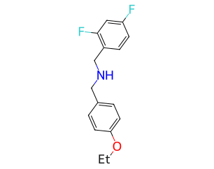 CCOc1ccc(CNCc2ccc(F)cc2F)cc1